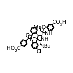 COc1cc(C(=O)O)ccc1NC(=O)[C@@H]1N[C@@H](CC(C)(C)C)[C@@]2(CN(C(=O)c3ccc(C(=O)O)cc3)c3ccc(Cl)cc32)[C@H]1c1ccccc1Cl